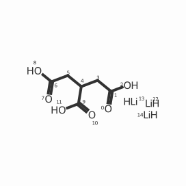 O=C(O)CC(CC(=O)O)C(=O)O.[LiH].[LiH].[LiH]